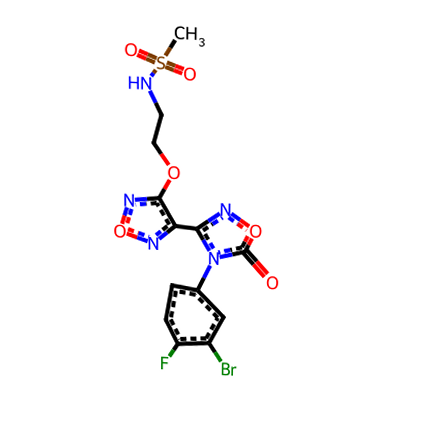 CS(=O)(=O)NCCOc1nonc1-c1noc(=O)n1-c1ccc(F)c(Br)c1